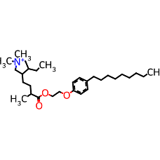 CCCCCCCCCc1ccc(OCCOC(=O)C(C)CCC2C[N+](C)(C)CC2CC)cc1